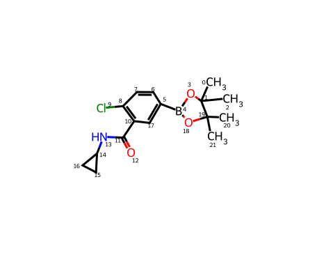 CC1(C)OB(c2ccc(Cl)c(C(=O)NC3CC3)c2)OC1(C)C